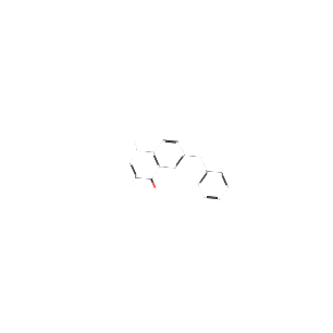 CCn1cc(C(=O)O)c(=O)c2cc(Cc3ccccc3)ccc21